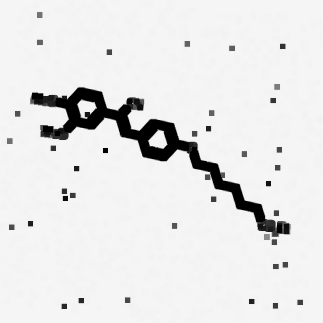 CCOC(=O)CCCCCCOc1ccc(/C=C(\C#N)c2ccc(OC)c(OC)c2)cc1